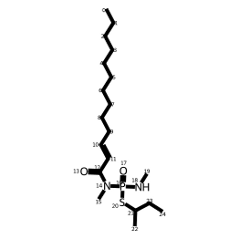 CCCCCCCCCCC=CC(=O)N(C)P(=O)(NC)SC(C)CC